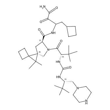 CC(C)(C)[C@H](NC(=O)N[C@H](CN1CCNCC1)C(C)(C)C)C(=O)N1C[C@]2(C[C@H]1C(=O)NC(CC1CCC1)C(=O)C(N)=O)C(C)(C)C21CCC1